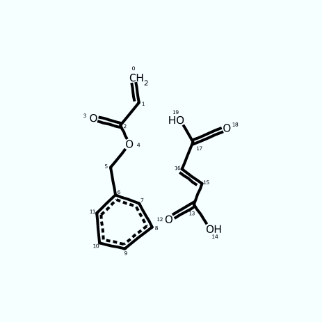 C=CC(=O)OCc1ccccc1.O=C(O)C=CC(=O)O